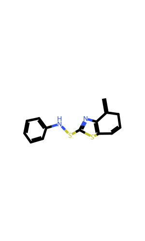 C=C1CC=Cc2sc(SNc3ccccc3)nc21